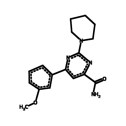 COc1cccc(-c2cc(C(N)=O)nc(N3CCCCC3)n2)c1